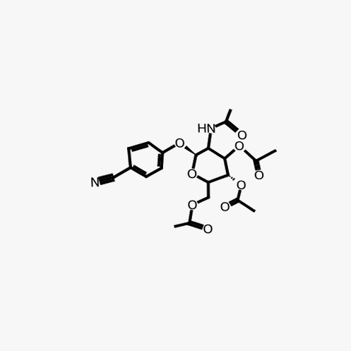 CC(=O)NC1C(OC(C)=O)[C@H](OC(C)=O)C(COC(C)=O)O[C@H]1Oc1ccc(C#N)cc1